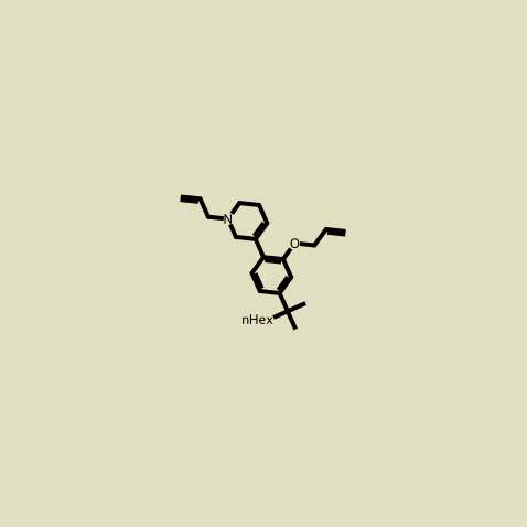 C=CCOc1cc(C(C)(C)CCCCCC)ccc1C1=CCCN(CC=C)C1